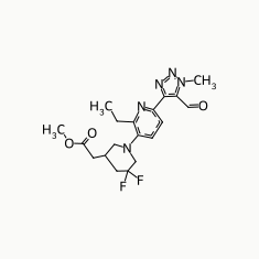 CCc1nc(-c2nnn(C)c2C=O)ccc1N1CC(CC(=O)OC)CC(F)(F)C1